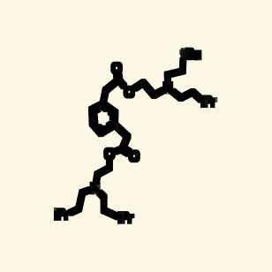 CC(C)CCN(CCOC(=O)Cc1cccc(CC(=O)OCCN(CCC(C)C)CCC(C)(C)C)c1)CCC(C)C